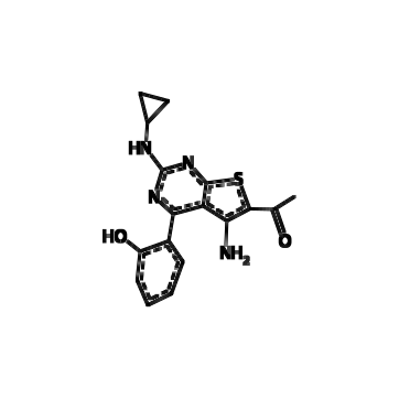 CC(=O)c1sc2nc(NC3CC3)nc(-c3ccccc3O)c2c1N